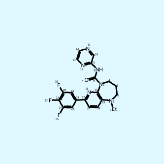 CCN1CCCN(C(=O)Nc2cnccn2)c2nc(-c3cc(F)c(F)c(F)c3)ccc21